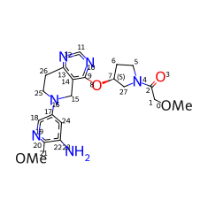 COCC(=O)N1CC[C@H](Oc2ncnc3c2CN(c2cnc(OC)c(N)c2)CC3)C1